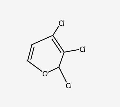 ClC1=C(Cl)C(Cl)OC=C1